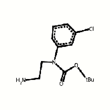 CC(C)(C)OC(=O)N(CCN)c1cccc(Cl)c1